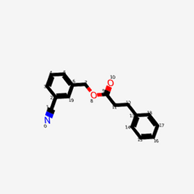 N#Cc1cccc(COC(=O)CCc2ccccc2)c1